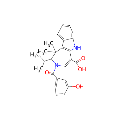 CC(C)C1N(C(=O)c2cccc(O)c2)C=C(C(=O)O)c2[nH]c3ccccc3c2C1(C)C